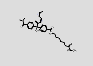 C=C(/C=C\C=C/C)C(OC)(c1ccc(C(=O)NCCCCCCC(=O)NO)cc1)c1ccc(C(=O)N(C)C)cc1